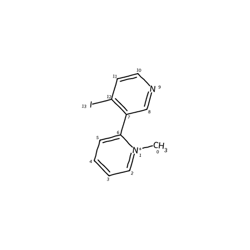 C[n+]1ccccc1-c1cnccc1I